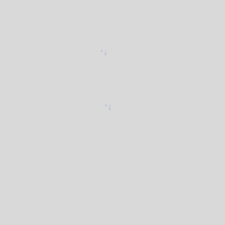 c1ccc(-c2ccc(N(c3ccc(-c4cccc5c4oc4ccccc45)cc3)c3cc4c5ccccc5n5c6ccccc6c(c3)c45)cc2)cc1